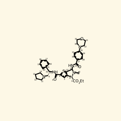 CCOC(=O)N1c2cc(C(=O)N[C@H](CN3CCCC3)c3ccccc3)sc2C(NC(=O)c2ccc(N3CCOCC3)cc2)N1F